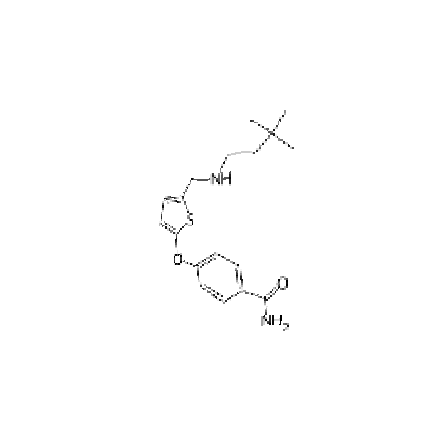 CC(C)(C)CCNCc1ccc(Oc2ccc(C(N)=O)cc2)s1